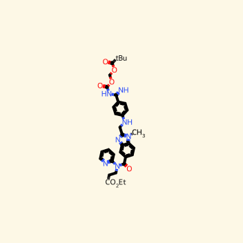 CCOC(=O)CCN(C(=O)c1ccc2c(c1)nc(CNc1ccc(C(=N)NC(=O)OCOC(=O)C(C)(C)C)cc1)n2C)c1ccccn1